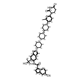 Cc1nc(C2CCC(=O)NC2=O)ccc1N1CCC(N2CCN([C@H]3CC[C@H](n4cc5cc(NC(=O)c6ccc7cc(C#N)cnn67)c(C(C)(C)O)cc5n4)CC3)CC2)CC1